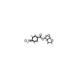 O=C(OC1COC2OCCC12)c1ccc([N+](=O)[O-])cc1